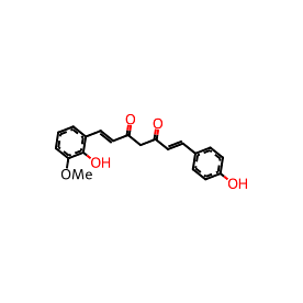 COc1cccc(C=CC(=O)CC(=O)C=Cc2ccc(O)cc2)c1O